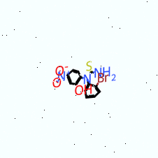 NC(=S)N(c1ccc([N+](=O)[O-])cc1O)c1ccccc1Br